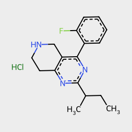 CCC(C)c1nc2c(c(-c3ccccc3F)n1)CNCC2.Cl